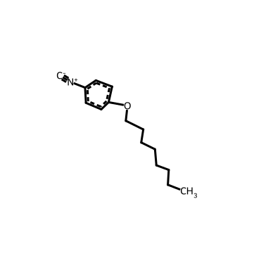 [C-]#[N+]c1ccc(OCCCCCCCC)cc1